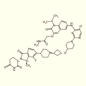 CNC(=O)COc1cc2cc(Nc3nc(N4CCC(O[C@H]5C[C@H](N6CCC(c7ccc8c(c7F)[C@@H](C)N([C@H]7CCC(=O)NC7=O)C8=O)CC6)C5)CC4)ncc3Cl)ccc2n(C(C)C)c1=O